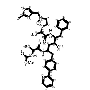 COC(=O)NC(C(=O)NC(Cc1ccc(-c2ccccn2)cc1)CC(O)C(Cc1ccccc1)NC(=O)C(N1CCN(Cc2csc(C)n2)O1)C(C)(C)C)C(C)(C)C